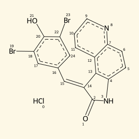 Cl.O=C1Nc2ccc3ncccc3c2/C1=C\c1cc(Br)c(O)c(Br)c1